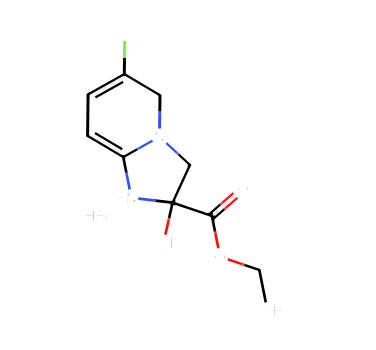 Br.CCOC(=O)C1(O)CN2CC(F)=CC=C2N1